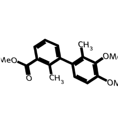 COC(=O)c1cccc(-c2ccc(OC)c(OC)c2C)c1C